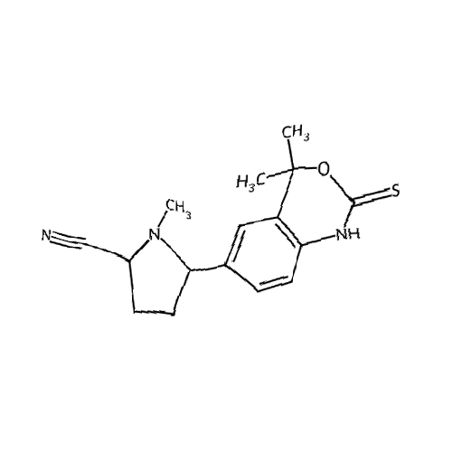 CN1C(C#N)CCC1c1ccc2c(c1)C(C)(C)OC(=S)N2